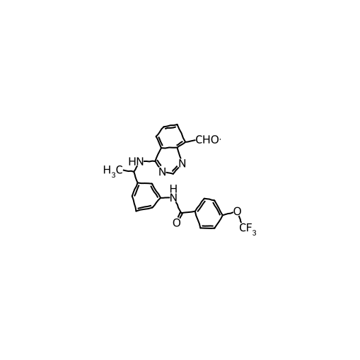 CC(Nc1ncnc2c([C]=O)cccc12)c1cccc(NC(=O)c2ccc(OC(F)(F)F)cc2)c1